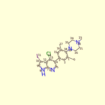 Cc1cc(-c2cnc3[nH]cc(I)c3c2Cl)cc(C)c1N1CCN(C)CC1